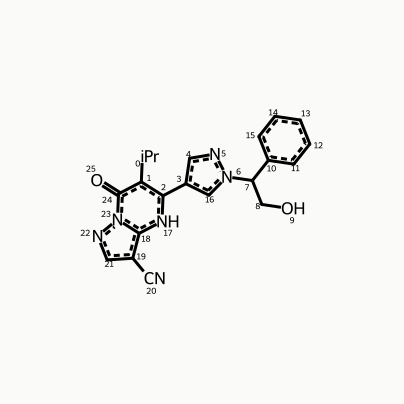 CC(C)c1c(-c2cnn(C(CO)c3ccccc3)c2)[nH]c2c(C#N)cnn2c1=O